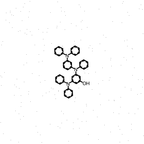 Oc1cc(N(c2ccccc2)c2ccccc2)cc(N(c2ccccc2)c2cccc(N(c3ccccc3)c3ccccc3)c2)c1